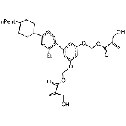 C=C(CO)C(=O)OCOc1cc(OCOC(=O)C(=C)CO)cc(-c2ccc(C3CCC(CCCCC)CC3)cc2CC)c1